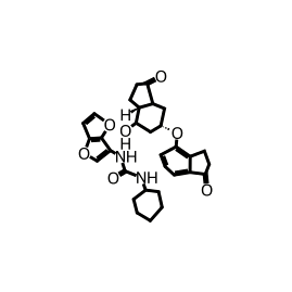 O=C(Nc1coc2ccoc12)NC1CCCCC1.O=C1CCc2c(O[C@@H]3CC(O)[C@@H]4CCC(=O)C4C3)cccc21